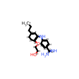 CCCC1=CC(Nc2ccc(C(=N)N)cc2)=C(OCCO)[CH]C1